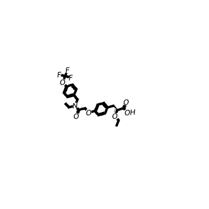 CCO[C@@H](Cc1ccc(OCC(=O)N(CC)Cc2ccc(OC(F)(F)F)cc2)cc1)C(=O)O